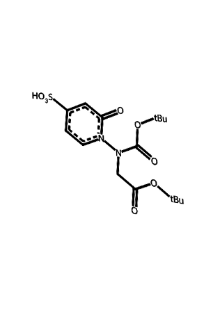 CC(C)(C)OC(=O)CN(C(=O)OC(C)(C)C)n1ccc(S(=O)(=O)O)cc1=O